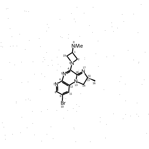 CNC1CN(C2=Nc3ncc(Br)cc3N3C[C@H](C)N=C23)C1